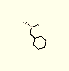 N[S@@+]([O-])CC1CCCCC1